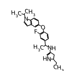 CCC1CC(NC(C)c2ccc(Oc3ccc4c(ccn4C(C)C)c3)c(F)c2)=CN1